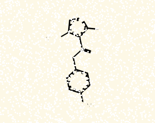 COc1ccc(CC(=O)c2c(OC)csc2C)cc1